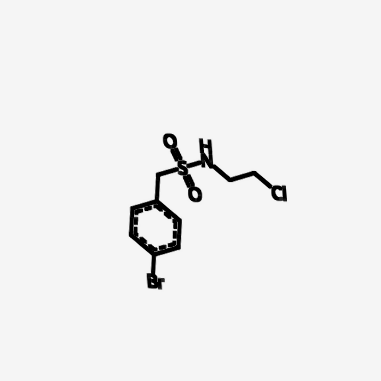 O=S(=O)(Cc1ccc(Br)cc1)NCCCl